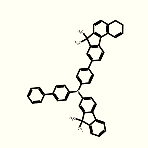 CC1(C)c2ccccc2-c2ccc(N(c3ccc(-c4ccccc4)cc3)c3ccc(-c4ccc5c(c4)C(C)(C)c4ccc6c(c4-5)C=CCC6)cc3)cc21